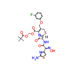 CC(C)(C)C(=O)OCOC(=O)C1=C(COc2cccc(F)c2)CS[C@H]2C(NC(=O)C(=NO)c3csc(N)n3)C(=O)N12